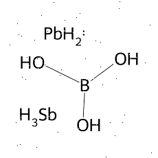 OB(O)O.[PbH2].[SbH3]